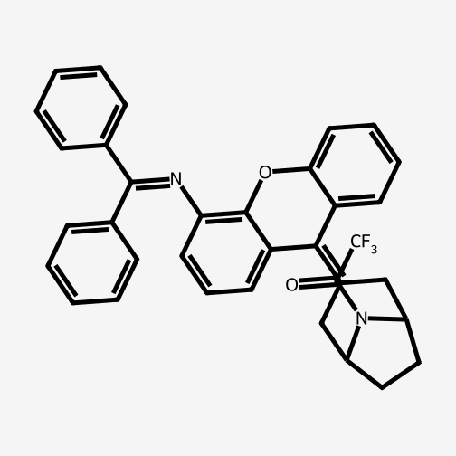 O=C(N1C2CCC1CC(=C1c3ccccc3Oc3c(N=C(c4ccccc4)c4ccccc4)cccc31)C2)C(F)(F)F